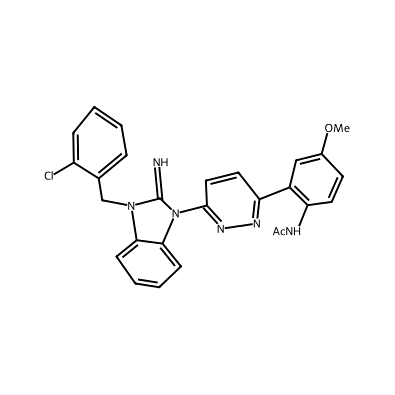 COc1ccc(NC(C)=O)c(-c2ccc(-n3c(=N)n(Cc4ccccc4Cl)c4ccccc43)nn2)c1